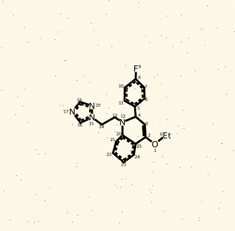 CCOC1=CC(c2ccc(F)cc2)N(CCn2cncn2)c2ccccc21